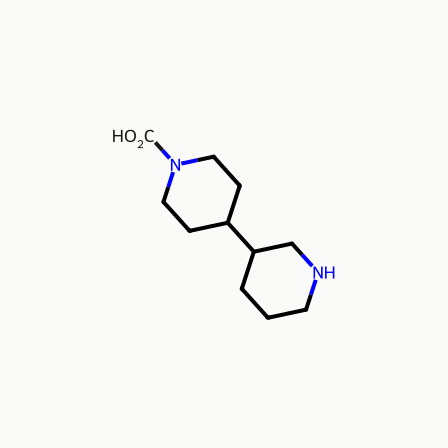 O=C(O)N1CCC(C2CCCNC2)CC1